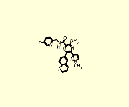 Cn1ccc(-c2nc(N)c(C(=O)NCc3ccc(F)cn3)nc2-c2ccc3ncccc3c2)n1